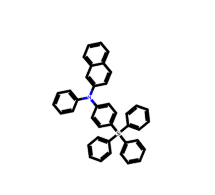 c1ccc(N(c2ccc([Si](c3ccccc3)(c3ccccc3)c3ccccc3)cc2)c2ccc3ccccc3c2)cc1